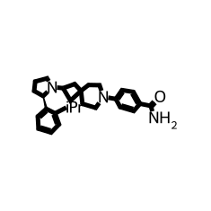 CC(C)c1ccccc1[C@H]1CCCN1C1CC2(CCN(c3ccc(C(N)=O)cc3)CC2)C1